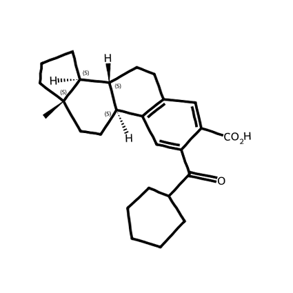 C[C@@]12CCC[C@H]1[C@@H]1CCc3cc(C(=O)O)c(C(=O)C4CCCCC4)cc3[C@H]1CC2